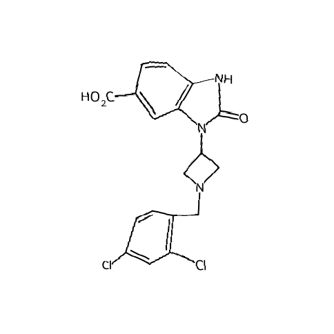 O=C(O)c1ccc2[nH]c(=O)n(C3CN(Cc4ccc(Cl)cc4Cl)C3)c2c1